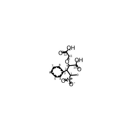 CC(C(c1ccccc1)C(OCC(=O)O)C(=O)O)[N+](=O)[O-]